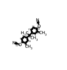 Cc1cc(C(C)(C)c2ccc(OC#N)c(C)c2)ccc1OC#N